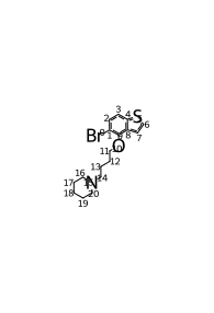 Brc1ccc2sccc2c1OCCCCN1CCCCC1